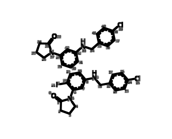 O=C1CCCN1c1cc(NCc2ccc(Cl)cc2)ccc1F.O=C1CCCN1c1cccc(NCc2ccc(Cl)cc2)c1